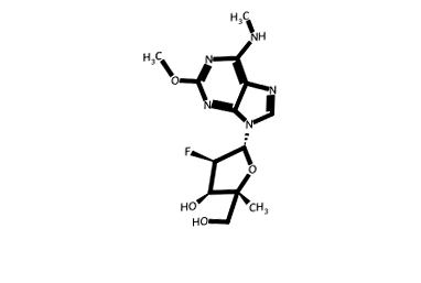 CNc1nc(OC)nc2c1ncn2[C@@H]1O[C@](C)(CO)[C@@H](O)[C@H]1F